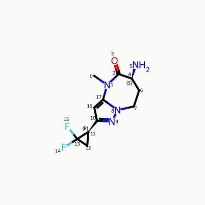 CN1C(=O)[C@@H](N)CCn2nc([C@H]3CC3(F)F)cc21